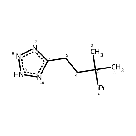 CC(C)C(C)(C)CCc1nn[nH]n1